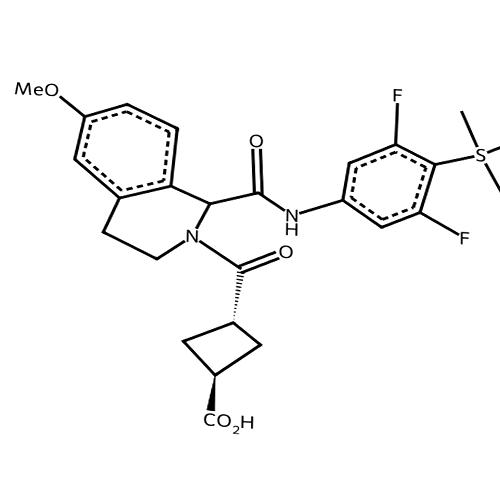 COc1ccc2c(c1)CCN(C(=O)[C@H]1C[C@H](C(=O)O)C1)C2C(=O)Nc1cc(F)c(S(C)(C)C)c(F)c1